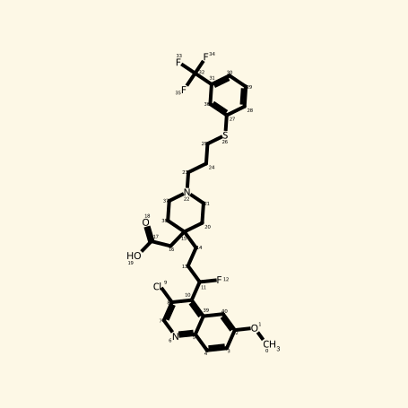 COc1ccc2ncc(Cl)c(C(F)CCC3(CC(=O)O)CCN(CCCSc4cccc(C(F)(F)F)c4)CC3)c2c1